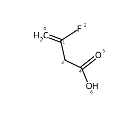 C=C(F)CC(=O)O